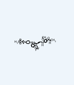 CNC(=O)c1ccc(NCC#Cc2cc3c(N[C@H]4CC[C@H](N5CC(S(C)(=O)=O)C5)CC4)cccc3n2CC(F)(F)F)c(OC)c1